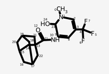 CN1C=C(C(F)(F)F)C=C(NC(=O)C23CC4CC(CC(C4)C2)C3)C1O